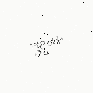 Cc1nc(C(=O)N[C@@H](C)c2ccncc2)c2cc(-c3ccc4nc(NC(=O)C5CC5)sc4c3)ccc2n1